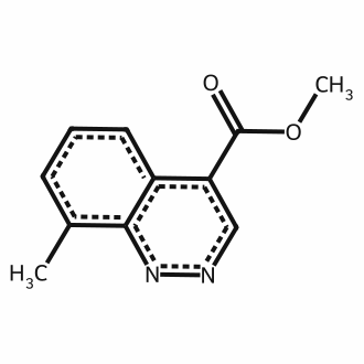 COC(=O)c1cnnc2c(C)cccc12